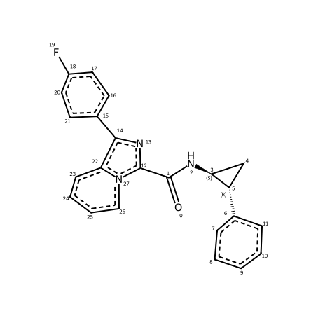 O=C(N[C@H]1C[C@@H]1c1ccccc1)c1nc(-c2ccc(F)cc2)c2ccccn12